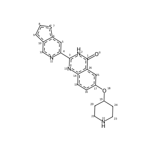 O=c1[nH]c(-c2cc3sccc3cn2)nc2ccc(OC3CCNCC3)cc12